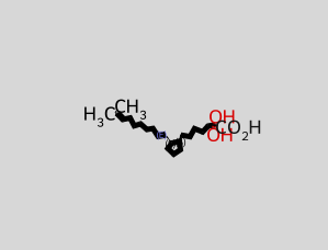 CC(C)=CCCCCC/C=C/[C@H]1CCC[C@@H]1CCCCCC(O)(O)C(=O)O